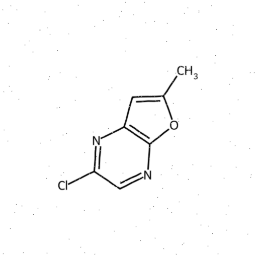 Cc1cc2nc(Cl)cnc2o1